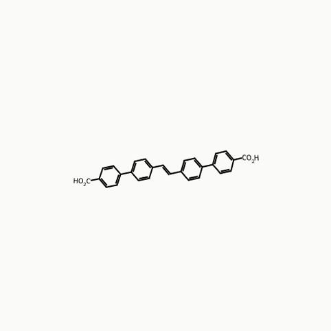 O=C(O)c1ccc(-c2ccc(C=Cc3ccc(-c4ccc(C(=O)O)cc4)cc3)cc2)cc1